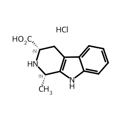 C[C@@H]1N[C@H](C(=O)O)Cc2c1[nH]c1ccccc21.Cl